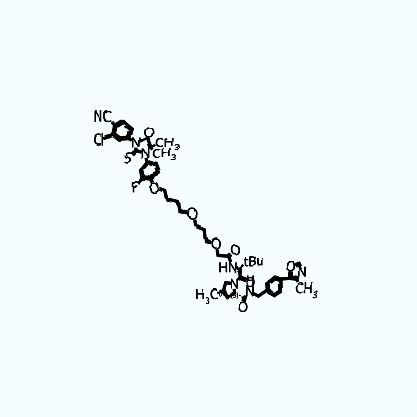 Cc1ncoc1-c1ccc(CNC(=O)[C@@H]2C[C@@H](C)CN2C(=O)[C@@H](NC(=O)COCCCOCCCCOc2ccc(N3C(=S)N(c4ccc(C#N)c(Cl)c4)C(=O)C3(C)C)cc2F)C(C)(C)C)cc1